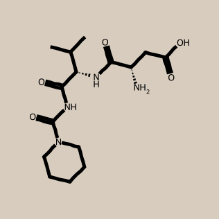 CC(C)[C@H](NC(=O)[C@@H](N)CC(=O)O)C(=O)NC(=O)N1CCCCC1